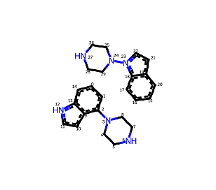 c1cc(N2CCNCC2)c2cc[nH]c2c1.c1ccc2c(c1)ccn2N1CCNCC1